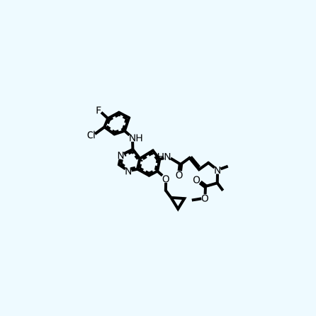 COC(=O)C(C)N(C)CC=CC(=O)Nc1cc2c(Nc3ccc(F)c(Cl)c3)ncnc2cc1OCC1CC1